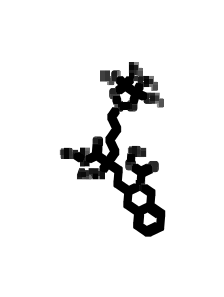 CC(=O)NC(CCCCB1OC(C)(C)C(C)(C)O1)(CCC1Cc2ccccc2CN1C(=O)OC(C)(C)C)C(=O)NC(C)(C)C